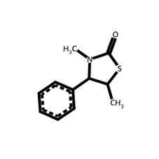 CC1SC(=O)N(C)C1c1ccccc1